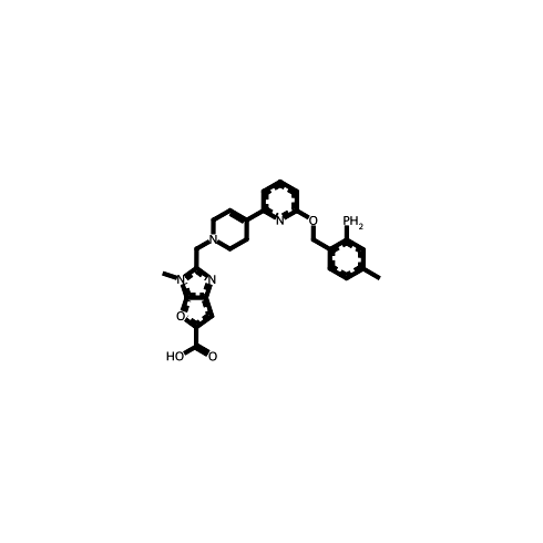 Cc1ccc(COc2cccc(C3=CCN(Cc4nc5cc(C(=O)O)oc5n4C)CC3)n2)c(P)c1